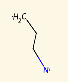 [CH2]CC[N]